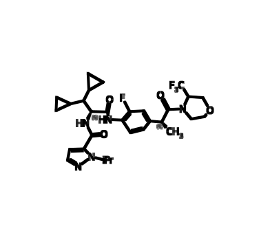 CC(C)n1nccc1C(=O)N[C@H](C(=O)Nc1ccc([C@H](C)C(=O)N2CCOCC2C(F)(F)F)cc1F)C(C1CC1)C1CC1